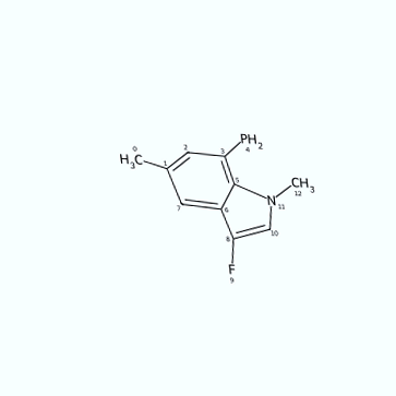 Cc1cc(P)c2c(c1)c(F)cn2C